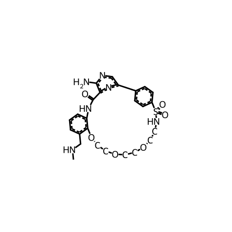 CNCc1cccc2c1OCCOCCOCCNS(=O)(=O)c1ccc(cc1)-c1cnc(N)c(n1)C(=O)N2